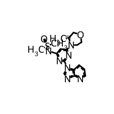 C[C@@H]1COCCN1c1cc(N=S(C)(C)=O)nc(-n2cnc3ncccc32)n1